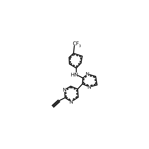 C#Cc1ncc(-c2nccnc2Nc2ccc(C(F)(F)F)cc2)cn1